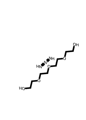 N=[N+]=N.OCCOCCOCCOCCO